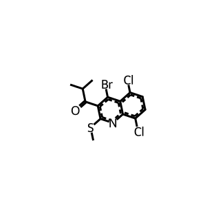 CSc1nc2c(Cl)ccc(Cl)c2c(Br)c1C(=O)C(C)C